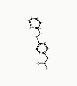 CC(=O)Cc1ccc(OCc2ccccn2)cc1